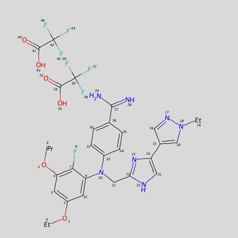 CCOc1cc(OC(C)C)c(F)c(N(Cc2nc(-c3cnn(CC)c3)c[nH]2)c2ccc(C(=N)N)cc2)c1.O=C(O)C(F)(F)F.O=C(O)C(F)(F)F